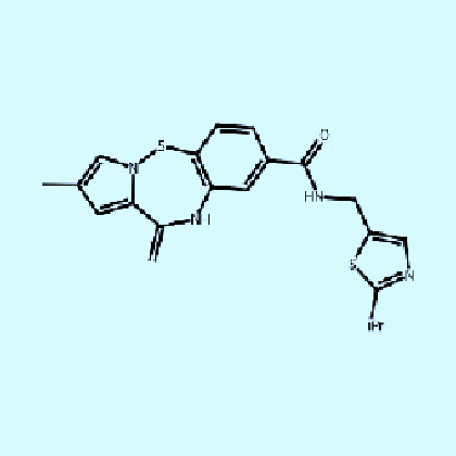 C=c1[nH]c2cc(C(=O)NCc3cnc(C(C)C)s3)ccc2sn2cc(C)cc12